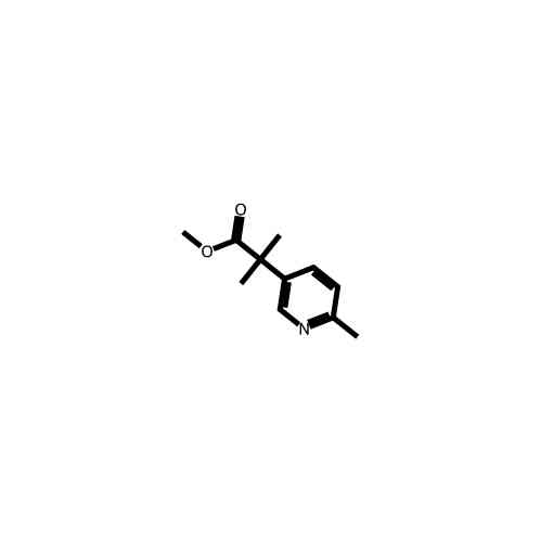 COC(=O)C(C)(C)c1ccc(C)nc1